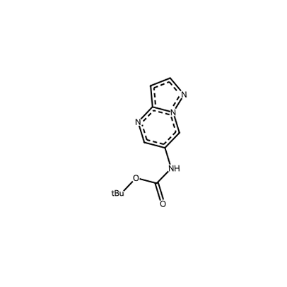 CC(C)(C)OC(=O)Nc1cnc2ccnn2c1